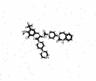 CNc1c(Cl)cc(C[C@@H](NC(=O)N2CCC(N3CCc4ccccc4NC3=O)CC2)C(=O)N2CCC(N3CCNCC3)CC2)cc1C(F)(F)F